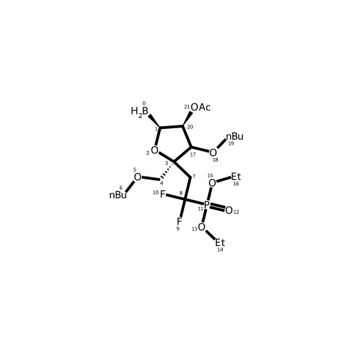 B[C@@H]1O[C@](COCCCC)(CC(F)(F)P(=O)(OCC)OCC)C(OCCCC)[C@@H]1OC(C)=O